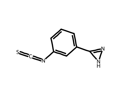 S=C=Nc1cccc(C2=NN2)c1